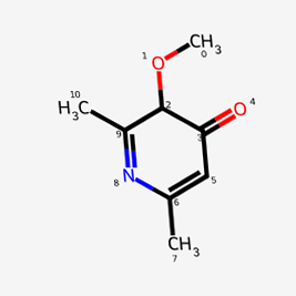 COC1C(=O)C=C(C)N=C1C